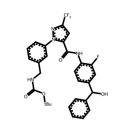 CC(C)(C)OC(=O)NCc1cccc(-n2nc(C(F)(F)F)cc2C(=O)Nc2ccc(C(O)c3ccccc3)cc2F)c1